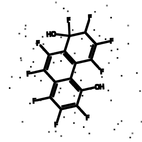 Oc1c(F)c(F)c(F)c2c(F)c(F)c3c(c12)C(F)=C(F)C(F)C3(O)F